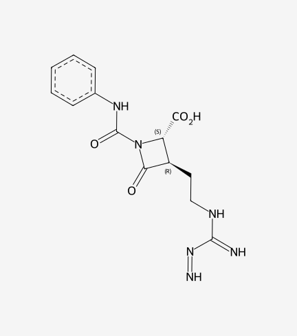 N=NC(=N)NCC[C@H]1C(=O)N(C(=O)Nc2ccccc2)[C@@H]1C(=O)O